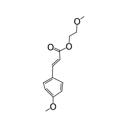 COCCOC(=O)/C=C/c1ccc(OC)cc1